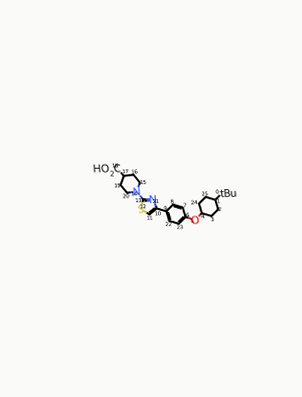 CC(C)(C)C1CCC(Oc2ccc(-c3csc(N4CCC(C(=O)O)CC4)n3)cc2)CC1